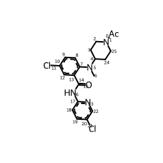 CC(=O)N1CCC(N(C)c2ccc(Cl)cc2C(=O)Nc2ccc(Cl)cn2)CC1